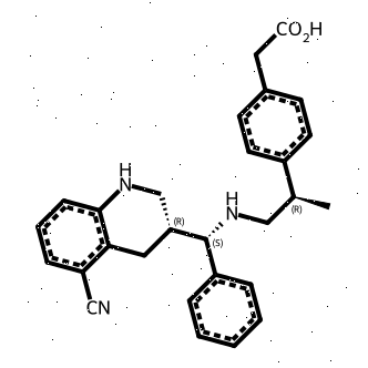 C[C@@H](CN[C@H](c1ccccc1)[C@H]1CNc2cccc(C#N)c2C1)c1ccc(CC(=O)O)cc1